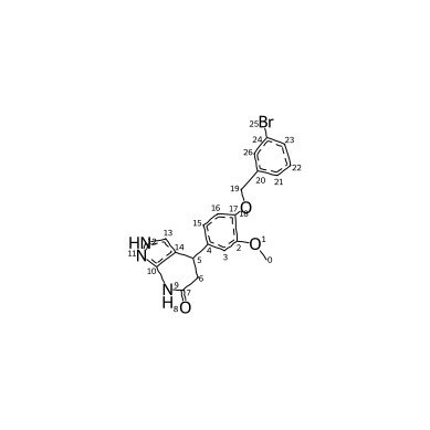 COc1cc(C2CC(=O)Nc3n[nH]cc32)ccc1OCc1cccc(Br)c1